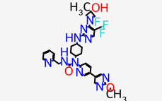 COc1ncc(-c2ccc(N(C(=O)NCc3ccccn3)C3CCC(Nc4ncc(C(F)(F)F)c(N5CC(C)(O)C5)n4)CC3)nc2)cn1